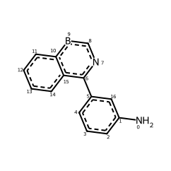 Nc1cccc(-c2ncbc3ccccc23)c1